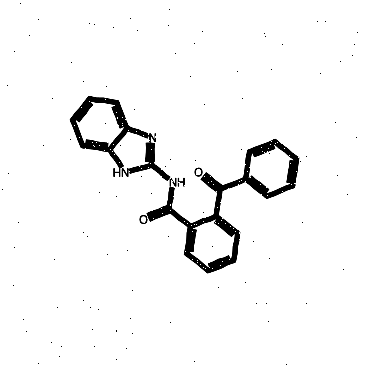 O=C(Nc1nc2ccccc2[nH]1)c1ccccc1C(=O)c1ccccc1